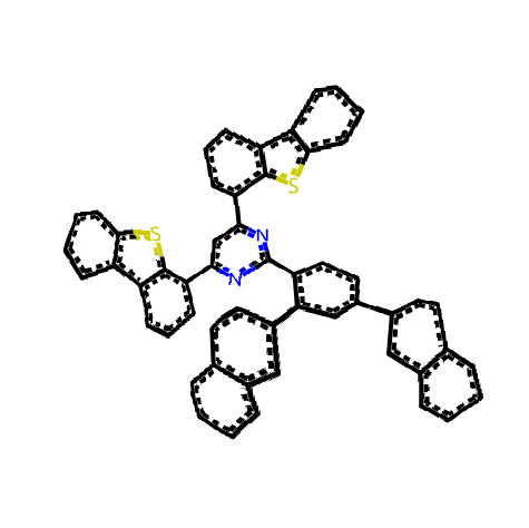 c1ccc2cc(-c3ccc(-c4nc(-c5cccc6c5sc5ccccc56)cc(-c5cccc6c5sc5ccccc56)n4)c(-c4ccc5ccccc5c4)c3)ccc2c1